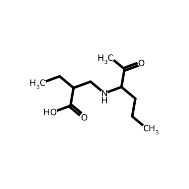 CCCC(NCC(CC)C(=O)O)C(C)=O